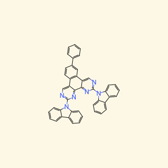 c1ccc(-c2ccc3c(c2)c2cnc(-n4c5ccccc5c5ccccc54)nc2c2nc(-n4c5ccccc5c5ccccc54)ncc32)cc1